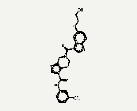 O=C(Nc1cccc(C(F)(F)F)c1)c1csc2c1CCN(C(=O)c1cnc3ccc(OCCO)cn13)C2